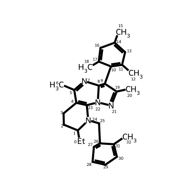 CCC1CCc2c(C)nc3c(-c4c(C)cc(C)cc4C)c(C)nn3c2N1Cc1ccccc1C